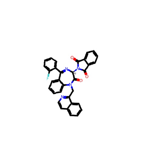 O=C1[C@H](N2C(=O)c3ccccc3C2=O)N=C(c2ccccc2F)c2ccccc2N1Cc1nccc2ccccc12